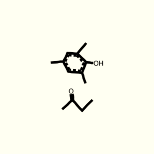 CCC(C)=O.Cc1cc(C)c(O)c(C)c1